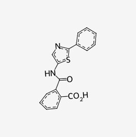 O=C(O)c1ccccc1C(=O)Nc1cnc(-c2ccccc2)s1